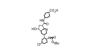 CC(C)(C)OC(=O)Nc1ccc(Cl)cc1-c1cnc2c(c1)C(O)CC2C(=O)Nc1ccc(C(=O)O)cc1